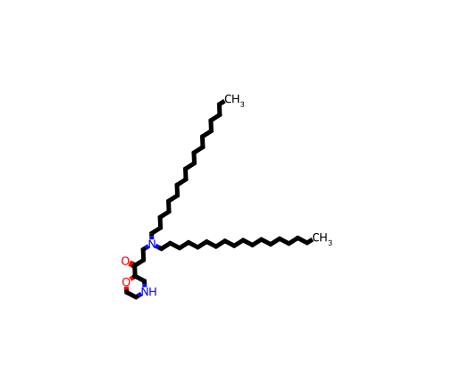 CCCCCCCCCCCCCCCCCCN(CCCCCCCCCCCCCCCCCC)CCC(=O)C1CNCCO1